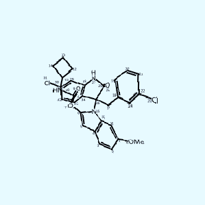 COc1ccc2cc(OC(=O)NC3CCC3)n(C3(Cc4cccc(Cl)c4)C(=O)Nc4cc(Cl)ccc43)c2c1